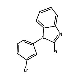 CCc1nc2ccccc2n1-c1cccc(Br)c1